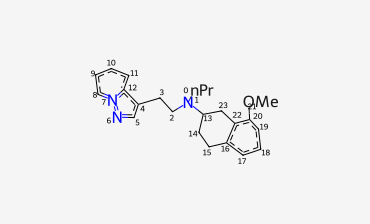 CCCN(CCc1cnn2ccccc12)C1CCc2cccc(OC)c2C1